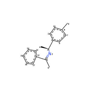 CC(=N[C@@H](C)c1ccc(C)cc1)c1ccccc1